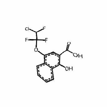 O=C(O)c1cc(OC(F)(F)C(F)Cl)c2ccccc2c1O